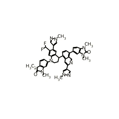 C[C@H]1C(=O)N(C)c2cc(N3CCC(c4ccc(-c5ccc6c(c5)n(C)c(=O)n6C)c5cnc(-c6cnn(C)c6)cc45)c4cc(-c5cnn(C)c5)c(C(F)F)cc43)ccc21